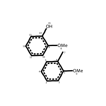 COc1ccccc1C.COc1ccccc1O